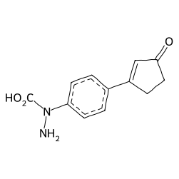 NN(C(=O)O)c1ccc(C2=CC(=O)CC2)cc1